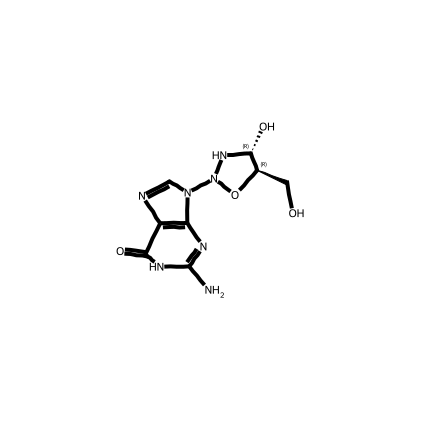 Nc1nc2c(ncn2N2N[C@H](O)[C@@H](CO)O2)c(=O)[nH]1